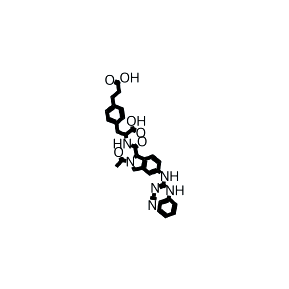 CC(=O)N1Cc2cc(NC(=NC#N)Nc3ccccc3)ccc2C1C(=O)NC(Cc1ccc(CCC(=O)O)cc1)C(=O)O